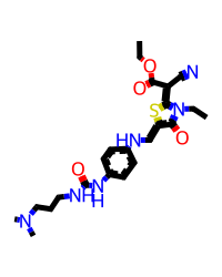 CCOC(=O)C(C#N)=c1sc(=CNc2ccc(NC(=O)NCCCN(C)C)cc2)c(=O)n1CC